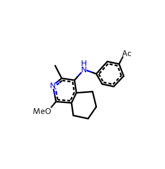 COc1nc(C)c(Nc2cccc(C(C)=O)c2)c2c1CCCC2